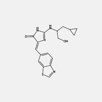 O=C1NC(NC(CO)CC2CC2)=N/C1=C\c1ccc2ncsc2c1